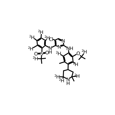 [2H]c1c([2H])c([2H])c(S(=O)(=O)C([2H])(C)C)c(Nc2nc(Nc3c([2H])c(C)c(C4CC([2H])([2H])NC([2H])(C)C4)c([2H])c3OC([2H])(C)C)ncc2Cl)c1[2H]